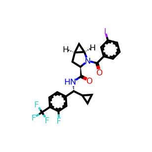 O=C(N[C@@H](c1ccc(C(F)(F)F)c(F)c1)C1CC1)[C@H]1C[C@H]2C[C@H]2N1C(=O)c1cccc(I)c1